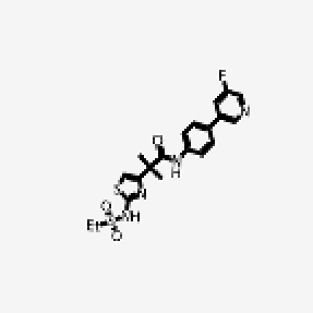 CCS(=O)(=O)Nc1nc(C(C)(C)C(=O)Nc2ccc(-c3cncc(F)c3)cc2)cs1